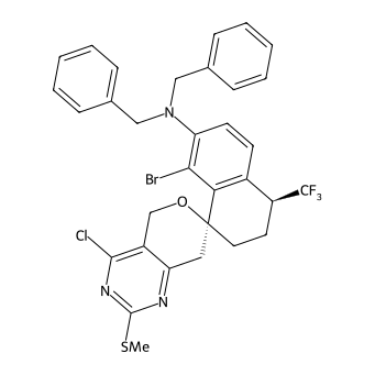 CSc1nc(Cl)c2c(n1)C[C@]1(CC[C@H](C(F)(F)F)c3ccc(N(Cc4ccccc4)Cc4ccccc4)c(Br)c31)OC2